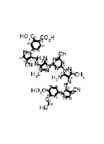 Cc1nn(-c2nc(O)nc(-n3nc(C)c(N=Nc4c(C#N)cnn4-c4ccc(C(=O)O)c(C(=O)O)c4)c3N)n2)c(N)c1N=Nc1c(C#N)cnn1-c1ccc(C(=O)O)c(OCO)c1